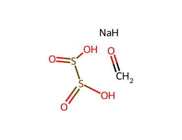 C=O.O=S(O)S(=O)O.[NaH]